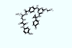 CC(C)(C)c1ccc(NC(=O)C(=O)NC[C@H](NC(=O)c2ccc(Nc3nc(NC4(c5ccc(Cl)cc5)CC4)nc(OCC(F)(F)F)n3)cc2)C(=O)O)cc1